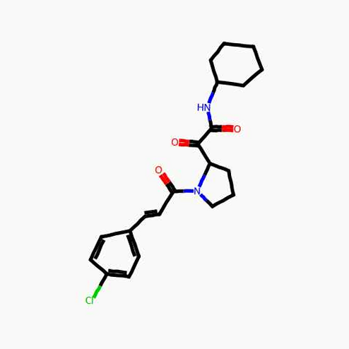 O=C(NC1CCCCC1)C(=O)C1CCCN1C(=O)C=Cc1ccc(Cl)cc1